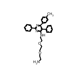 Cc1ccc(-c2nc(-c3ccccc3)nc(NCCOCCOCCN)c2-c2ccccc2)cc1